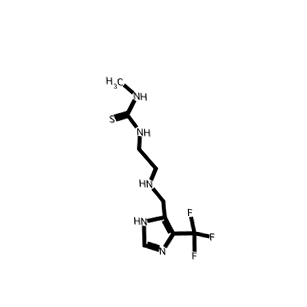 CNC(=S)NCCNCc1[nH]cnc1C(F)(F)F